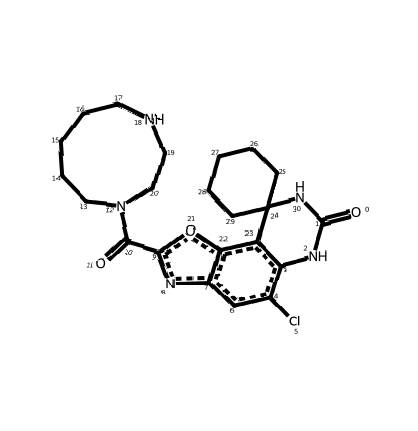 O=C1Nc2c(Cl)cc3nc(C(=O)N4CCCCCNCC4)oc3c2C2(CCCCC2)N1